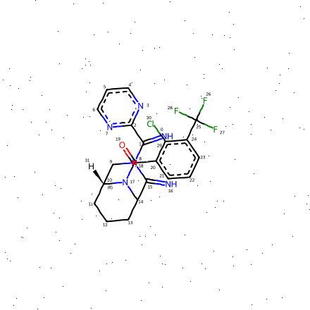 N=C(c1ncccn1)N1C[C@H]2CCCC(C1=N)N2C(=O)c1cccc(C(F)(F)F)c1Cl